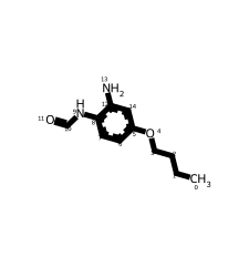 CCCCOc1ccc(NC=O)c(N)c1